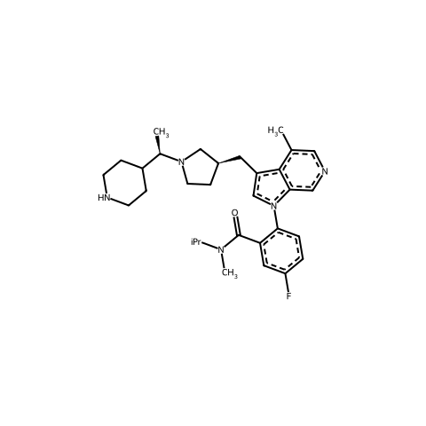 Cc1cncc2c1c(C[C@H]1CCN([C@H](C)C3CCNCC3)C1)cn2-c1ccc(F)cc1C(=O)N(C)C(C)C